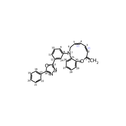 C=C1/C=C\C=C/CN(c2cccc(-c3nnc(-c4ccccc4)o3)c2)c2ccccc2O1